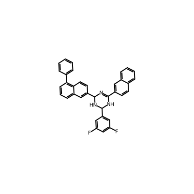 Fc1cc(F)cc(C2NC(c3ccc4ccccc4c3)=NC(c3ccc4c(-c5ccccc5)cccc4c3)N2)c1